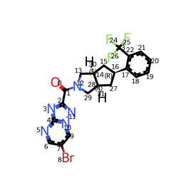 O=C(c1nc2ncc(Br)cn2n1)N1C[C@H]2C[C@@H](c3ccccc3C(F)(F)F)C[C@H]2C1